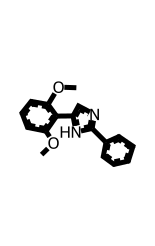 COc1cccc(OC)c1-c1cnc(-c2ccccc2)[nH]1